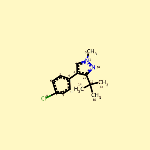 Cn1cc(-c2ccc(Cl)cc2)c(C(C)(C)C)n1